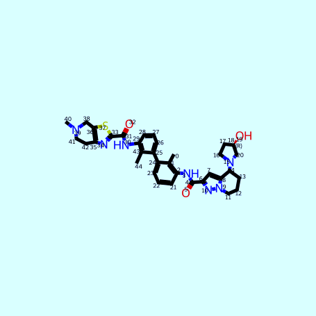 Cc1c(NC(=O)c2cc3n(n2)CCCC3N2CC[C@@H](O)C2)cccc1-c1cccc(NC(=O)c2nc3c(s2)CN(C)CC3)c1C